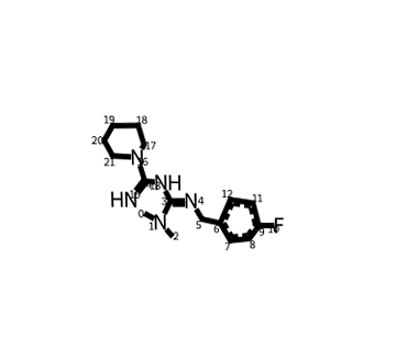 CN(C)/C(=N\Cc1ccc(F)cc1)NC(=N)N1CCCCC1